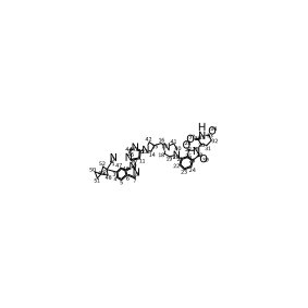 N#CC1(c2ccc3cnn(-c4cc(N5CC(CN6CCN(c7cccc8c7C(=O)N(C7CCC(=O)NC7=O)C8=O)CC6)C5)ncn4)c3c2)CC2(CC2)C1